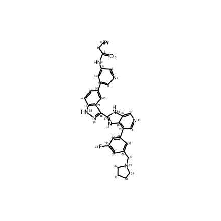 CC(C)CC(=O)Nc1cncc(-c2ccc3[nH]nc(-c4nc5c(-c6cc(F)cc(CN7CCCC7)c6)cncc5[nH]4)c3c2)c1